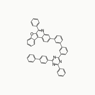 c1ccc(-c2ccc(-c3nc(-c4ccccc4)nc(-c4cccc(-c5cccc(-c6ccc7c(c6)nc(-c6ccccc6)c6oc8ccccc8c67)c5)c4)n3)cc2)cc1